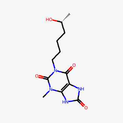 C[C@@H](O)CCCCn1c(=O)c2[nH]c(=O)[nH]c2n(C)c1=O